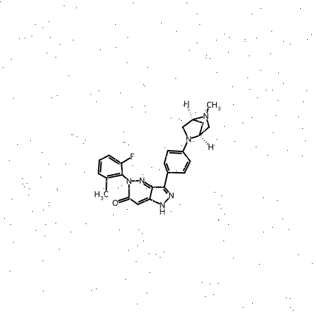 Cc1cccc(F)c1-n1nc2c(-c3ccc(N4C[C@@H]5C[C@H]4CN5C)cc3)n[nH]c2cc1=O